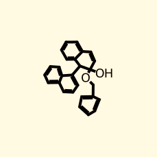 OC1(OCc2ccccc2)C=Cc2ccccc2C1c1cccc2ccccc12